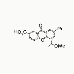 COC(C)c1cc(C(C)C)cc2c(=O)c3cc(C(=O)O)ccc3oc12